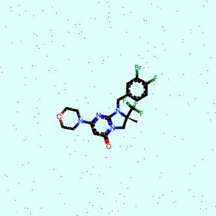 C[C@@]1(C(F)(F)F)Cn2c(nc(N3CCOCC3)cc2=O)N1Cc1ccc(F)c(Br)c1